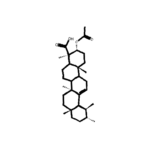 CC(=O)O[C@@H]1CC[C@]2(C)C3CC=C4C5[C@@H](C)[C@H](C)CC[C@]5(C)CC[C@@]4(C)C3CCC2[C@@]1(C)C(=O)O